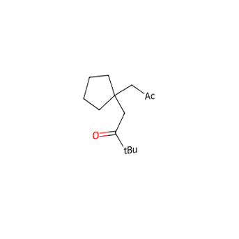 CC(=O)CC1(CC(=O)C(C)(C)C)CCCC1